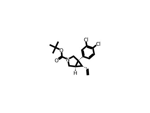 C=C[C@@H]1[C@H]2CN(C(=O)OC(C)(C)C)C[C@@]12c1ccc(Cl)c(Cl)c1